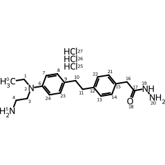 CCN(CCN)c1ccc(CCc2ccc(CC(=O)NN)cc2)cc1.Cl.Cl.Cl